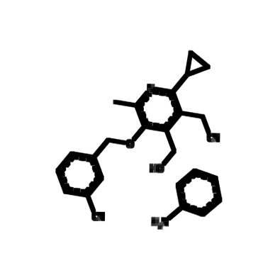 Cc1nc(C2CC2)c(CC#N)c(CO)c1OCc1cccc(C#N)c1.Nc1ccccc1